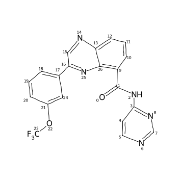 O=C(Nc1ccncn1)c1cccc2ncc(-c3cccc(OC(F)(F)F)c3)nc12